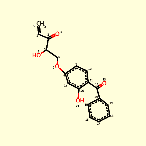 C=CC(=O)C(O)COc1ccc(C(=O)c2ccccc2)c(O)c1